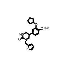 COc1ccc(C2CNC(=O)N(Cc3cccs3)C2)cc1OC1CCCC1